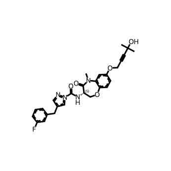 CN1C(=O)[C@@H](NC(=O)n2cc(Cc3cccc(F)c3)cn2)COc2ccc(OCC#CC(C)(C)O)cc21